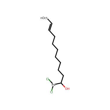 CCCCCCCCC=CCCCCCCC[CH](O)[Pd]([Cl])[Cl]